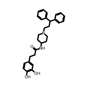 O=C(CCc1ccc(O)c(O)c1)NC1CCN(CCC(c2ccccc2)c2ccccc2)CC1